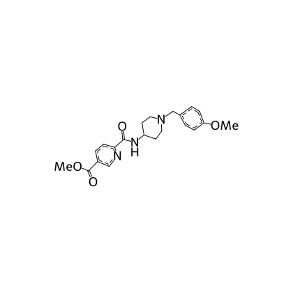 COC(=O)c1ccc(C(=O)NC2CCN(Cc3ccc(OC)cc3)CC2)nc1